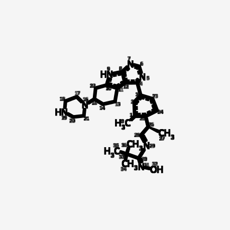 Cc1cc(-c2ncnc3[nH]c4c(c23)CCC(N2CCNCC2)C4)ccc1[C@@H](C)/C=N/C(=N\O)C(C)(C)C